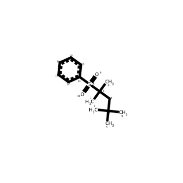 CC(C)(C)CC(C)(C)S(=O)(=O)c1ccccc1